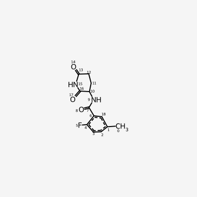 Cc1ccc(F)c(C(=O)NC2CCC(=O)NC2=O)c1